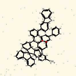 Cc1cccc(-c2cccc(C(c3cccc(-c4ccc5sc6ccccc6c5c4)c3-c3cccc(-c4ccccc4)c3)c3cccc4c3-c3ccccc3C43c4ccccc4-c4ccccc43)c2)c1